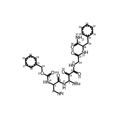 CCC(C)C(NC(=O)C(CC(C)C)NC(=O)OCc1ccccc1)C(=O)C(=O)NCC(=O)NC(Cc1ccccc1)C(N)=O